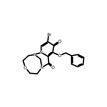 O=C1c2c(OCc3ccccc3)c(=O)c(Br)cn2N2CCOCCN1C2